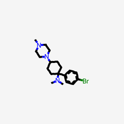 CN1CCN(C2CCC(c3ccc(Br)cc3)(N(C)C)CC2)CC1